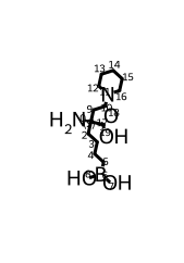 N[C@@](CCCCB(O)O)(CCN1CCCCC1)C(=O)O